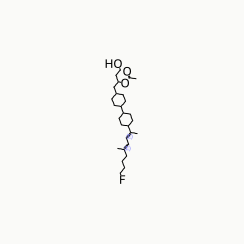 CC(=O)OC(CCO)CC1CCC(C2CCC(/C(C)=C/C=C(\C)CCCCF)CC2)CC1